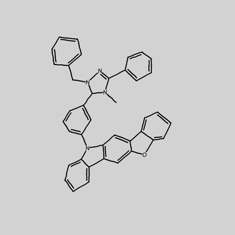 CN1C(c2ccccc2)=NN(Cc2ccccc2)C1c1cccc(-n2c3ccccc3c3cc4oc5ccccc5c4cc32)c1